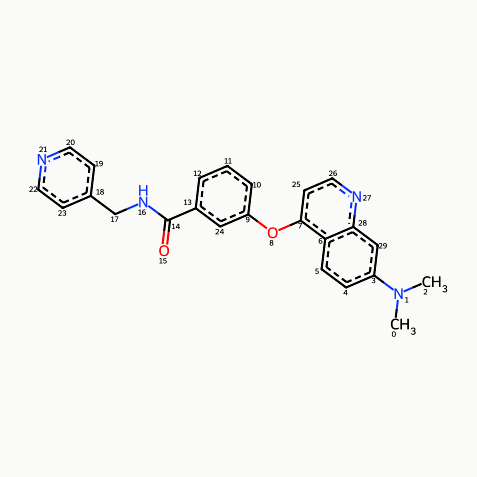 CN(C)c1ccc2c(Oc3cccc(C(=O)NCc4ccncc4)c3)ccnc2c1